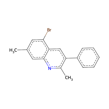 Cc1cc(Br)c2cc(-c3ccccc3)c(C)nc2c1